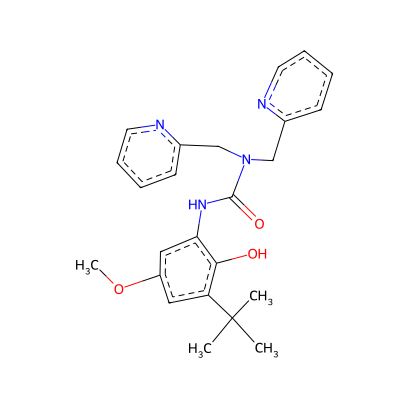 COc1cc(NC(=O)N(Cc2ccccn2)Cc2ccccn2)c(O)c(C(C)(C)C)c1